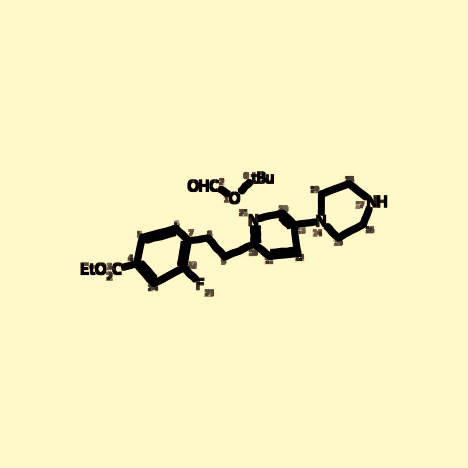 CC(C)(C)OC=O.CCOC(=O)c1ccc(CCc2ccc(N3CCNCC3)cn2)c(F)c1